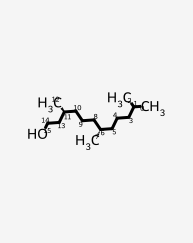 CC(C)CCC[C@H](C)CCC[C@H](C)CCO